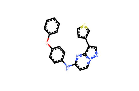 c1ccc(Oc2ccc(Nc3ccn4ncc(-c5ccsc5)c4n3)cc2)cc1